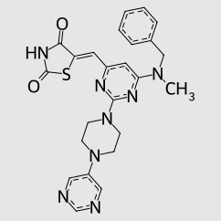 CN(Cc1ccccc1)c1cc(C=C2SC(=O)NC2=O)nc(N2CCN(c3cncnc3)CC2)n1